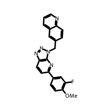 COc1ccc(-c2ccc3nnn(Cc4ccc5ncccc5c4)c3n2)cc1F